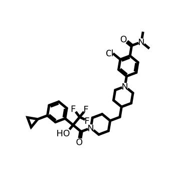 CN(C)C(=O)c1ccc(N2CCC(CC3CCN(C(=O)C(O)(c4cccc(C5CC5)c4)C(F)(F)F)CC3)CC2)cc1Cl